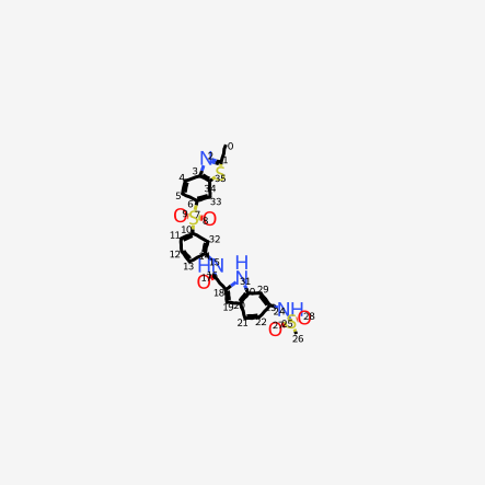 Cc1nc2ccc(S(=O)(=O)c3cccc(NC(=O)c4cc5ccc(NS(C)(=O)=O)cc5[nH]4)c3)cc2s1